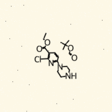 CC(C)(C)OC=O.CCOC(=O)c1ccc(N2CCNCC2)nc1Cl